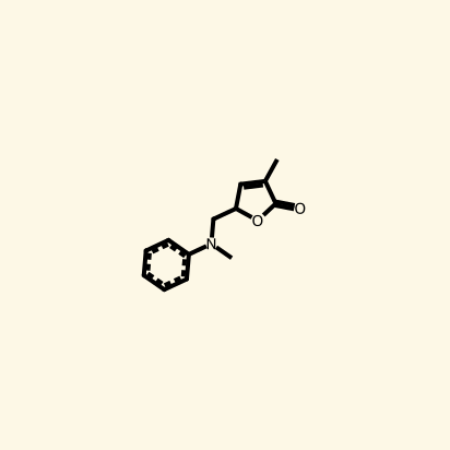 CC1=CC(CN(C)c2ccccc2)OC1=O